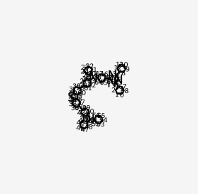 c1ccc(-c2nc(-c3ccccc3)nc(-c3ccc(-n4c5ccccc5c5cc(-c6ccc7sc8ccc(-c9ccc%10c(c9)c9ccccc9n%10-c9ccccc9)cc8c7c6)ccc54)cc3)n2)cc1